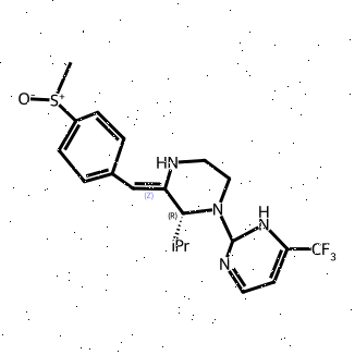 CC(C)[C@@H]1/C(=C/c2ccc([S+](C)[O-])cc2)NCCN1C1N=CC=C(C(F)(F)F)N1